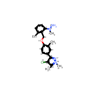 CCc1cccc(N(C)N)c1COc1ccc(-c2nn(C)c(C)c2Cl)cc1C